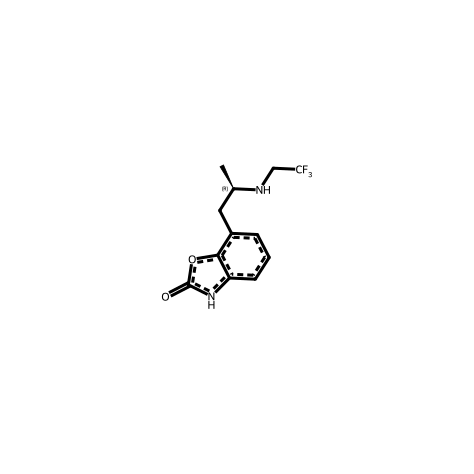 C[C@H](Cc1cccc2[nH]c(=O)oc12)NCC(F)(F)F